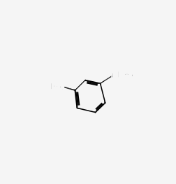 CCCCCCc1[c]ccc(CCCCCC)c1